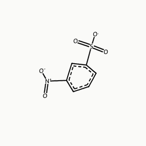 [O]S(=O)(=O)c1cccc([N+](=O)[O-])c1